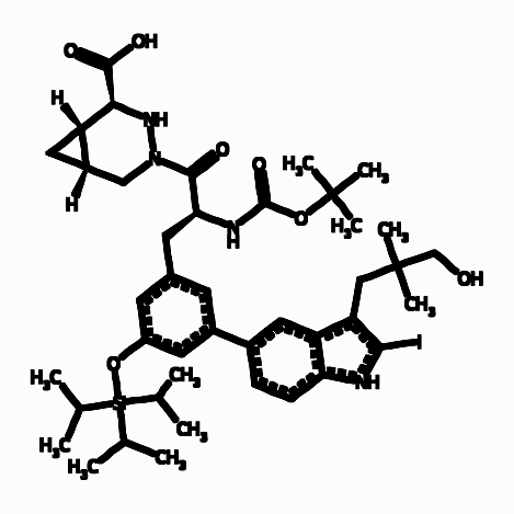 CC(C)[Si](Oc1cc(C[C@H](NC(=O)OC(C)(C)C)C(=O)N2C[C@@H]3C[C@@H]3[C@@H](C(=O)O)N2)cc(-c2ccc3[nH]c(I)c(CC(C)(C)CO)c3c2)c1)(C(C)C)C(C)C